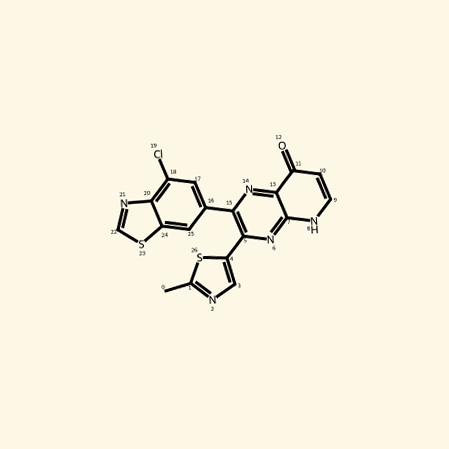 Cc1ncc(-c2nc3[nH]ccc(=O)c3nc2-c2cc(Cl)c3ncsc3c2)s1